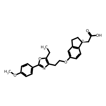 CCc1oc(-c2ccc(OC)cc2)nc1CCOc1ccc2c(c1)CC[C@H]2CC(=O)O